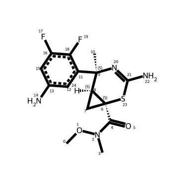 CON(C)C(=O)[C@]12C[C@H]1[C@@](C)(c1cc(N)cc(F)c1F)N=C(N)S2